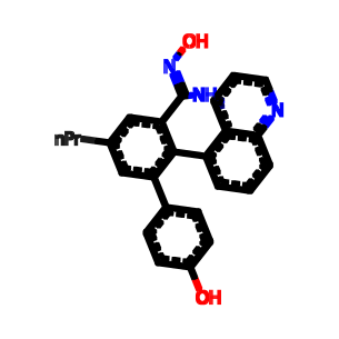 CCCc1cc(/C(N)=N/O)c(-c2cccc3ncccc23)c(-c2ccc(O)cc2)c1